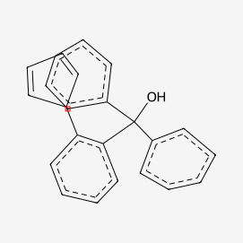 OC(c1ccccc1)(c1ccccc1)c1ccccc1C1C=CC=C1